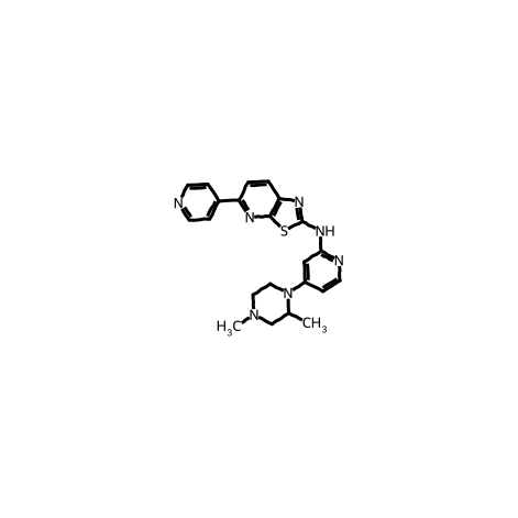 CC1CN(C)CCN1c1ccnc(Nc2nc3ccc(-c4ccncc4)nc3s2)c1